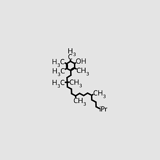 CC1=C(C)C(C)C(O)C(C)=C1CCC(C)(C)CCCC(C)CCCC(C)CCCC(C)C